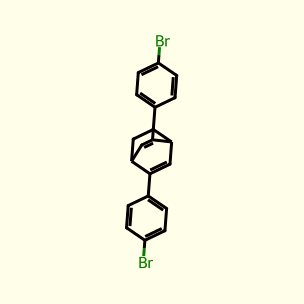 Brc1ccc(C2=CC3CCC2C=C3c2ccc(Br)cc2)cc1